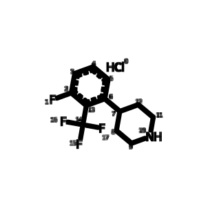 Cl.Fc1cccc(C2CCNCC2)c1C(F)(F)F